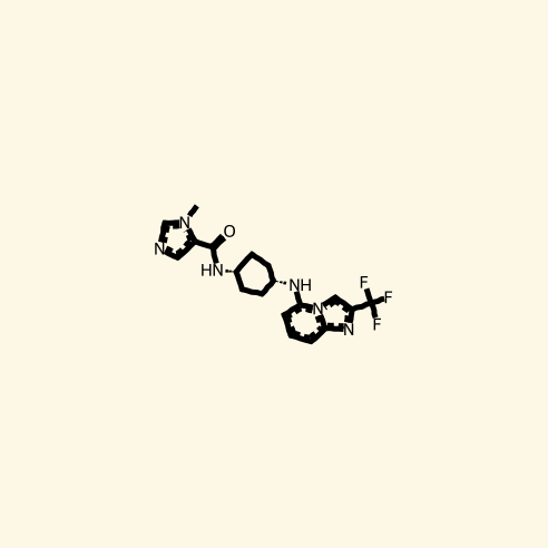 Cn1cncc1C(=O)N[C@H]1CC[C@@H](Nc2cccc3nc(C(F)(F)F)cn23)CC1